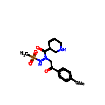 COc1ccc(C(=O)CN(NS(C)(=O)=O)C(=O)C2CCCNC2)cc1